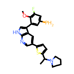 COc1c(F)cc(P)cc1-c1c[nH]c2ncc(-c3ccc(C(C)N4CCCC4)s3)cc12